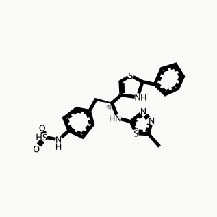 Cc1nnc(N[C@@H](Cc2ccc(N[SH](=O)=O)cc2)C2=CSC(c3ccccc3)N2)s1